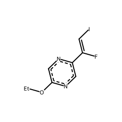 CCOc1cnc(/C(F)=C/I)cn1